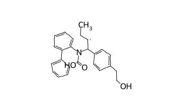 CC[CH]C(c1ccc(CCO)cc1)N(C(=O)O)c1ccccc1-c1ccccc1